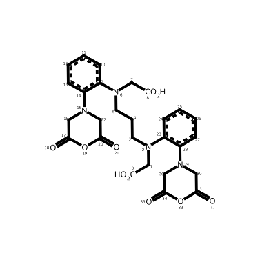 O=C(O)CN(CCCN(CC(=O)O)c1ccccc1N1CC(=O)OC(=O)C1)c1ccccc1N1CC(=O)OC(=O)C1